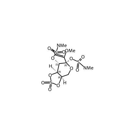 CC=C(OC)[C@@]1(OS(=O)(=O)NC)OC[C@H]2OS(=O)(=O)O[C@H]2[C@@H]1OS(=O)(=O)NC